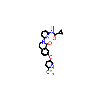 O=C(Nc1cccc(N2CCc3ccc(Oc4ccc(C(F)(F)F)nc4)cc3C2=O)n1)C1CC1